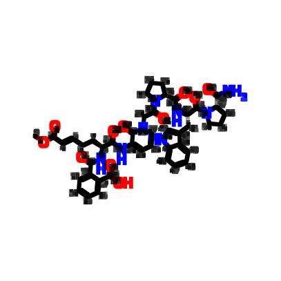 COC(=O)/C=C/CC[C@H](NC(=O)c1ccccc1C(=O)O)C(=O)Nc1cccn(CC(=O)N2CCC[C@H]2C(=O)N[C@@H](Cc2c[nH]c3ccccc23)C(=O)N2CCC[C@H]2C(N)=O)c1=O